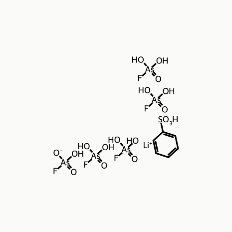 O=S(=O)(O)c1ccccc1.O=[As](O)(O)F.O=[As](O)(O)F.O=[As](O)(O)F.O=[As](O)(O)F.O=[As]([O-])(O)F.[Li+]